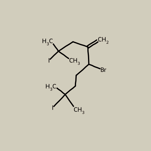 C=C(CC(C)(C)I)C(Br)CCC(C)(C)I